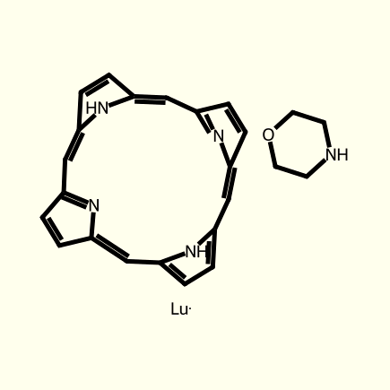 C1=Cc2cc3ccc(cc4nc(cc5ccc(cc1n2)[nH]5)C=C4)[nH]3.C1COCCN1.[Lu]